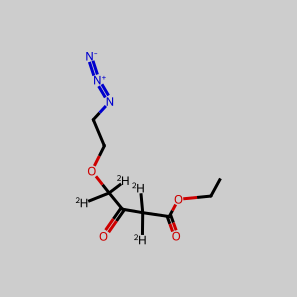 [2H]C([2H])(OCCN=[N+]=[N-])C(=O)C([2H])([2H])C(=O)OCC